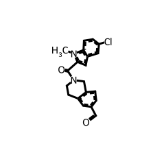 Cn1c(C(=O)N2CCc3cc(C=O)ccc3C2)cc2cc(Cl)ccc21